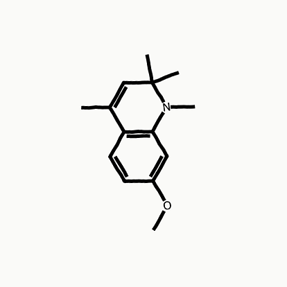 COc1ccc2c(c1)N(C)C(C)(C)C=C2C